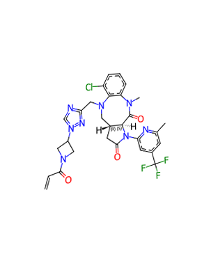 C=CC(=O)N1CC(n2cnc(CN3C[C@H]4CC(=O)N(c5cc(C(F)(F)F)cc(C)n5)[C@@H]4C(=O)N(C)c4cccc(Cl)c43)n2)C1